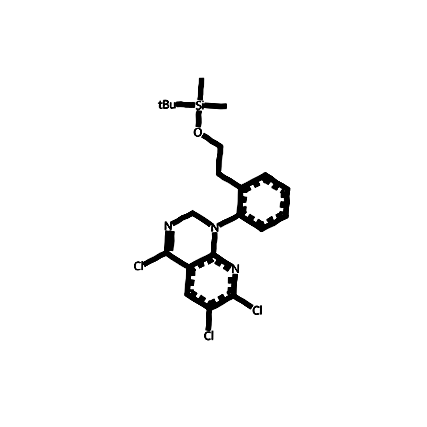 CC(C)(C)[Si](C)(C)OCCc1ccccc1N1CN=C(Cl)c2cc(Cl)c(Cl)nc21